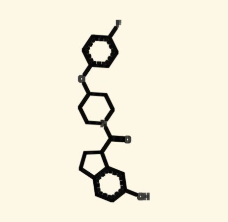 O=C(C1CCc2ccc(O)cc21)N1CCC(Oc2ccc(F)cc2)CC1